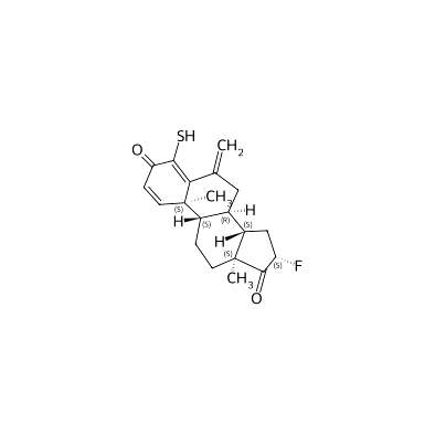 C=C1C[C@@H]2[C@H](CC[C@]3(C)C(=O)[C@@H](F)C[C@@H]23)[C@@]2(C)C=CC(=O)C(S)=C12